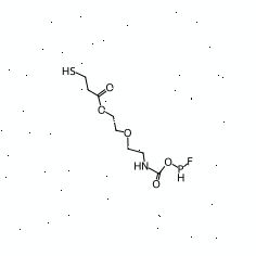 O=C(CCS)OCCOCCNC(=O)OPF